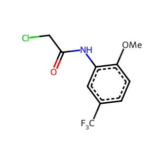 COc1ccc(C(F)(F)F)cc1NC(=O)CCl